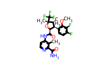 COc1c([C@H]2[C@@H](C(=O)Nc3ccnc(C(N)=O)c3C)O[C@](C)(C(F)(F)F)[C@@H]2C)ccc(F)c1F